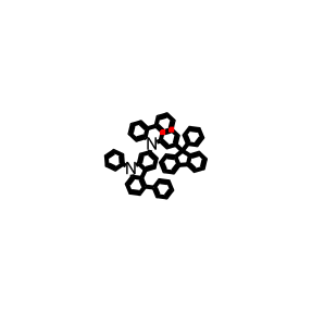 c1ccc(-c2ccccc2N(c2cccc(C3(c4ccccc4)c4ccccc4-c4ccccc43)c2)c2ccc3c4c(-c5ccccc5)cccc4n(-c4ccccc4)c3c2)cc1